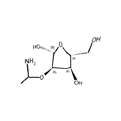 CC(N)O[C@@H]1[C@H](O)[C@@H](CO)O[C@H]1O